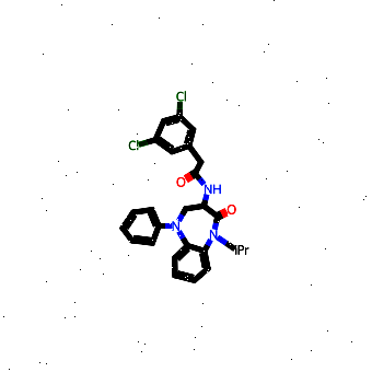 CC(C)N1C(=O)C(NC(=O)Cc2cc(Cl)cc(Cl)c2)CN(c2ccccc2)c2ccccc21